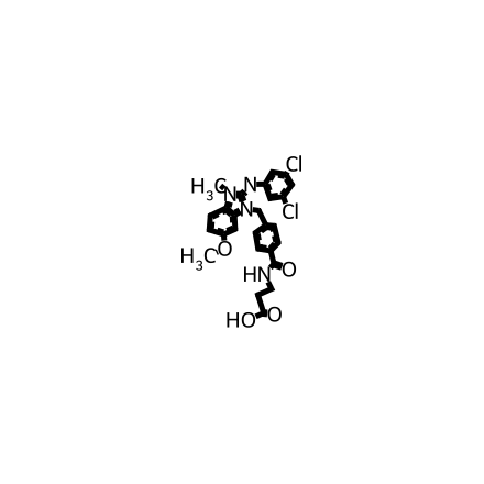 COc1ccc2c(c1)n(Cc1ccc(C(=O)NCCC(=O)O)cc1)c(=Nc1cc(Cl)cc(Cl)c1)n2C